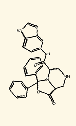 O=C(Nc1ccc2[nH]ccc2c1)C1CNCC2C(=O)OC(c3ccccc3)(c3ccccc3)N12